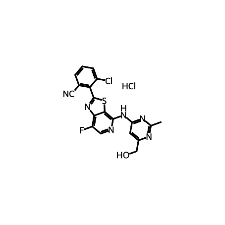 Cc1nc(CO)cc(Nc2ncc(F)c3nc(-c4c(Cl)cccc4C#N)sc23)n1.Cl